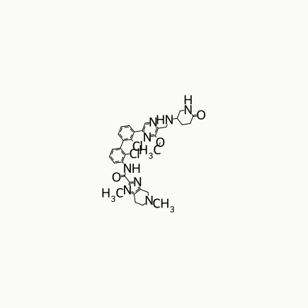 COc1nc(-c2cccc(-c3cccc(NC(=O)c4nc5c(n4C)CCN(C)C5)c3Cl)c2Cl)cnc1CNC1CCC(=O)NC1